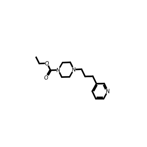 CCOC(=O)N1CCN(CCCc2cccnc2)CC1